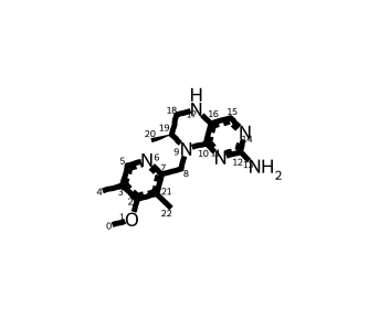 COc1c(C)cnc(CN2c3nc(N)ncc3NC[C@@H]2C)c1C